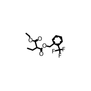 CCOC(=O)C(CC)C(=O)OCc1ccccc1C(F)(F)F